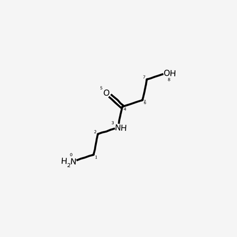 NCCNC(=O)[CH]CO